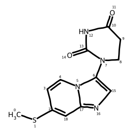 CSc1ccn2c(N3CCC(=O)NC3=O)cnc2c1